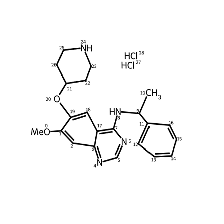 COc1cc2ncnc(NC(C)c3ccccc3)c2cc1OC1CCNCC1.Cl.Cl